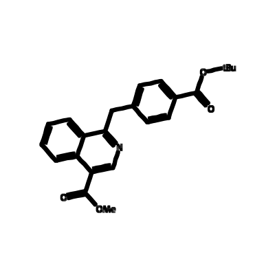 COC(=O)c1cnc(Cc2ccc(C(=O)OC(C)(C)C)cc2)c2ccccc12